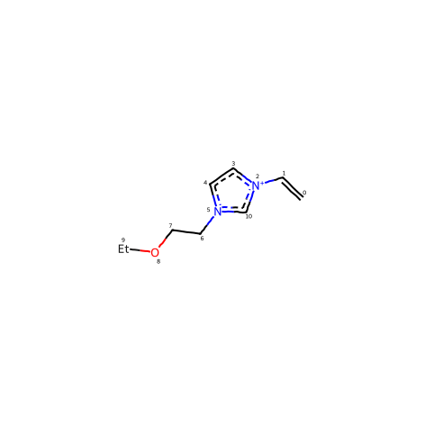 C=C[n+]1ccn(CCOCC)c1